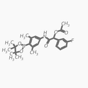 CC(=O)OC(C(=O)Nc1cc(C)c(B2OC(C)(C)C(C)(C)O2)c(C)c1)c1cccc(F)c1